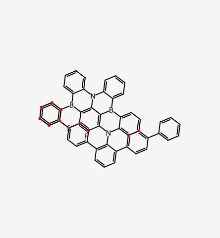 Fc1c2c3c4c5c1N(c1c(-c6ccc(-c7ccccc7)cc6)cccc1-c1ccc(-c6ccccc6)cc1)c1ccccc1B5c1ccccc1N4c1ccccc1B3c1ccccc1S2